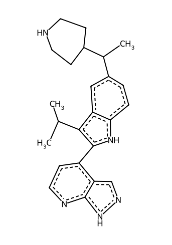 CC(C)c1c(-c2ccnc3[nH]ncc23)[nH]c2ccc(C(C)C3CCNCC3)cc12